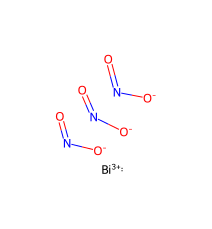 O=N[O-].O=N[O-].O=N[O-].[Bi+3]